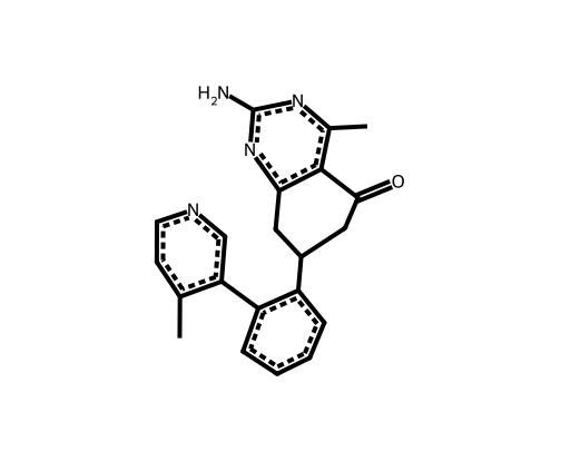 Cc1ccncc1-c1ccccc1C1CC(=O)c2c(C)nc(N)nc2C1